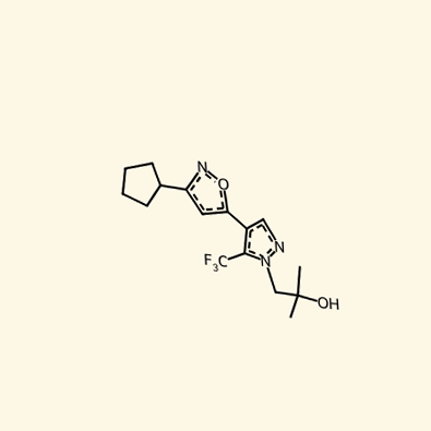 CC(C)(O)Cn1ncc(-c2cc(C3CCCC3)no2)c1C(F)(F)F